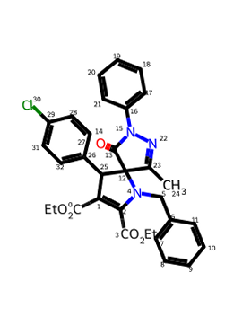 CCOC(=O)C1=C(C(=O)OCC)N(Cc2ccccc2)C2(C(=O)N(c3ccccc3)N=C2C)C1c1ccc(Cl)cc1